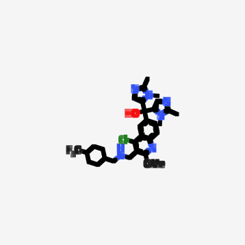 COc1nc2ccc(C(O)(c3cnc(C)n3C)c3cnc(C)n3C)cc2c(Cl)c1CNCC1CCC(C(F)(F)F)CC1